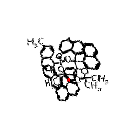 Cc1ccc2c(c1)C=CN(C(C)c1ccccc1)C2P1(=O)OC(c2cccc3ccccc23)(c2cccc3ccccc23)C2OC(C)(C)OC2C(c2cccc3ccccc23)(c2cccc3ccccc23)O1